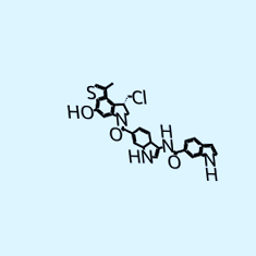 Cc1csc2c(O)cc3c(c12)[C@H](CCl)CN3C(=O)C1=CC2NC=C(NC(=O)c3ccc4cc[nH]c4c3)C2C=C1